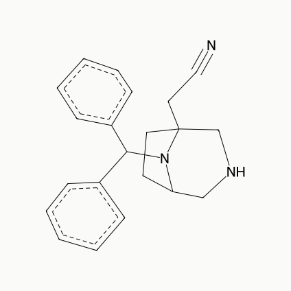 N#CCC12CCC(CNC1)N2C(c1ccccc1)c1ccccc1